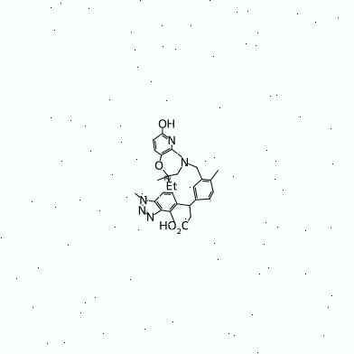 CC[C@]1(C)CN(Cc2cc(C(CC(=O)O)c3ccc4c(nnn4C)c3C)ccc2C)Cc2nc(O)ccc2O1